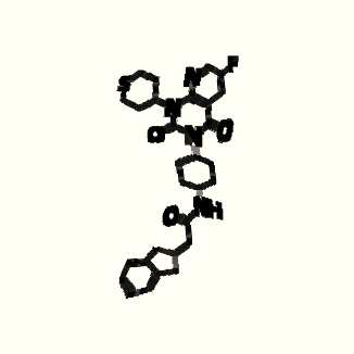 O=C(CC1Cc2ccccc2C1)N[C@H]1CC[C@@H](n2c(=O)c3cc(F)cnc3n(C3CCSCC3)c2=O)CC1